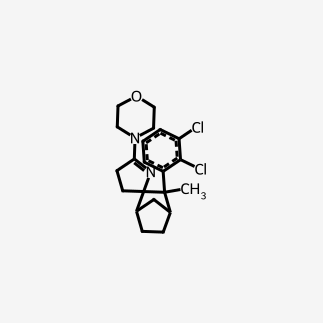 CC1(c2cccc(Cl)c2Cl)C2CCC(C2)C12CCC(N1CCOCC1)=N2